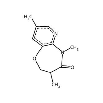 Cc1cnc2c(c1)OCC(C)C(=O)N2C